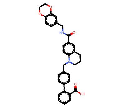 O=C(NCc1ccc2c(c1)OCCO2)c1ccc2c(c1)CCCN2Cc1ccc(-c2ccccc2C(=O)O)cc1